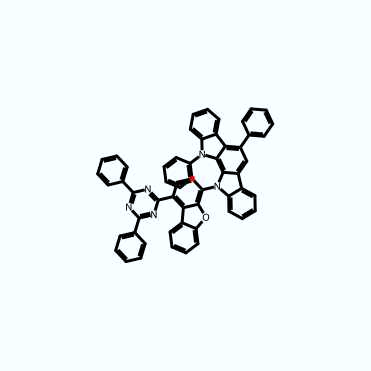 c1ccc(-c2nc(-c3ccccc3)nc(-c3ccc(-n4c5ccccc5c5cc(-c6ccccc6)c6c7ccccc7n(-c7ccccc7)c6c54)c4oc5ccccc5c34)n2)cc1